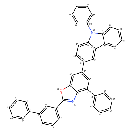 c1ccc(-c2cccc(-c3nc4c(-c5ccccc5)cc(-c5ccc6c(c5)c5ccccc5n6-c5ccccc5)cc4o3)c2)cc1